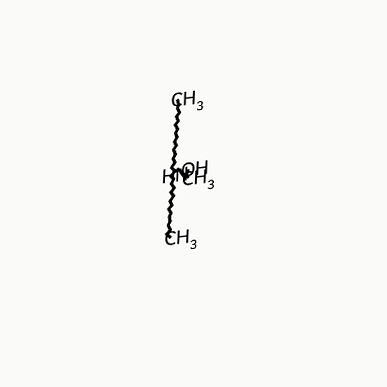 CCCCCCCCCCCCCCCCCC(CCCCCCCCCCCCCCCC)CNC(C)O